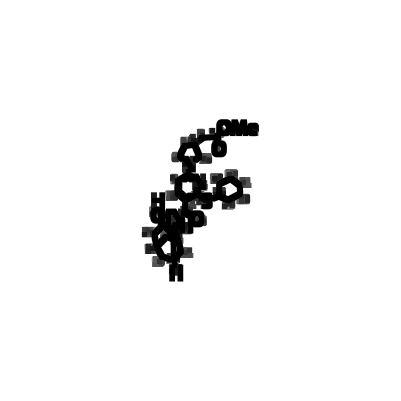 COC(=O)C[C@@H]1CCN(c2ccc(C(=O)N[C@@H]3C4CC5C[C@@H](C4)CC3(O)C5)c(SC3CCCCC3)n2)C1